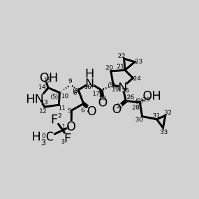 CC(F)(F)OCC(=O)[C@H](C[C@@H]1CCNC1O)NC(=O)[C@@H]1CC2(CC2)CN1C(=O)[C@H](O)CC1CC1